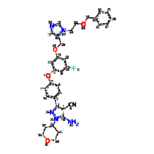 N#Cc1c(-c2ccc(Oc3cc(F)cc(OCc4cncn4CCOCc4ccccc4)c3)cc2)nn(C2CCOCC2)c1N